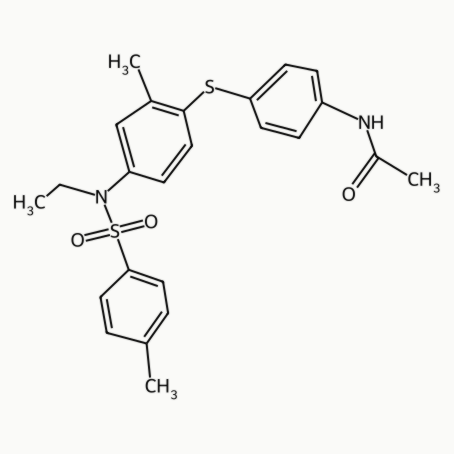 CCN(c1ccc(Sc2ccc(NC(C)=O)cc2)c(C)c1)S(=O)(=O)c1ccc(C)cc1